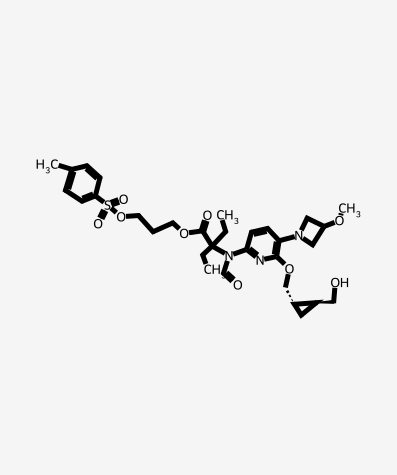 CCC(CC)(C(=O)OCCCOS(=O)(=O)c1ccc(C)cc1)N(C=O)c1ccc(N2CC(OC)C2)c(OC[C@H]2C[C@@H]2CO)n1